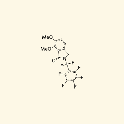 COc1ccc2c(c1OC)C(=O)N(C(F)(F)c1c(F)c(F)c(F)c(F)c1F)C2